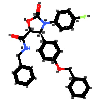 O=C(NCc1ccccc1)[C@H]1OC(=O)N(c2ccc(F)cc2)[C@@H]1c1ccc(OCc2ccccc2)cc1